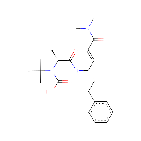 C[C@@H](C(=O)N[C@H](C=CC(=O)N(C)C)CCc1ccccc1)N(C(=O)O)C(C)(C)C